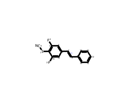 N#CSc1c(F)cc(/C=C/c2ccccc2)cc1F